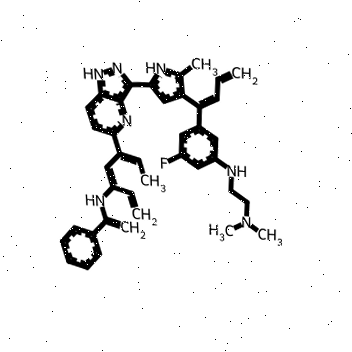 C=C/C=C(/c1cc(F)cc(NCCN(C)C)c1)c1cc(-c2n[nH]c3ccc(C(/C=C(\C=C)NC(=C)c4ccccc4)=C/C)nc23)[nH]c1C